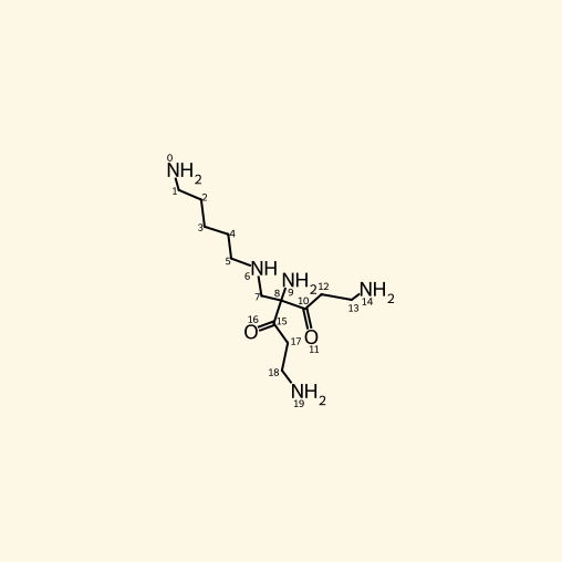 NCCCCCNCC(N)(C(=O)CCN)C(=O)CCN